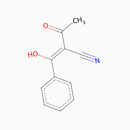 CC(=O)/C(C#N)=C(\O)c1ccccc1